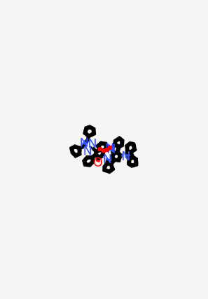 N#Cc1cc(-c2nc(-c3ccccc3)nc(-c3ccccc3)n2)c2c(oc3ccccc32)c1-n1c2ccccc2c2cc(-n3c4ccccc4c4ccccc43)c3c4ccccc4n(-c4ccccc4)c3c21